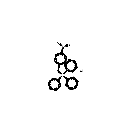 O=[N+]([O-])c1ccc(C[P+](c2ccccc2)(c2ccccc2)c2ccccc2)cc1.[Cl-]